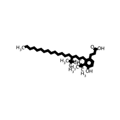 CCCCCCCCCCCCCCC(CCCc1c(CCC(=O)O)ccc(O)c1C(C)(C)C)C(C)(C)C